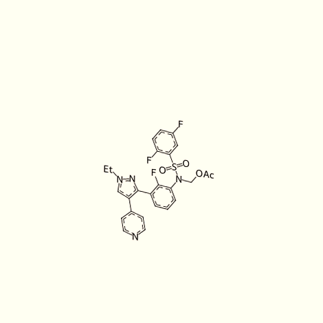 CCn1cc(-c2ccncc2)c(-c2cccc(N(COC(C)=O)S(=O)(=O)c3cc(F)ccc3F)c2F)n1